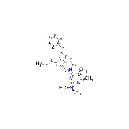 CCCCCC1(CCCc2ccccc2)CCN(c2nc(N(C)C)nc(C)c2C)CC1